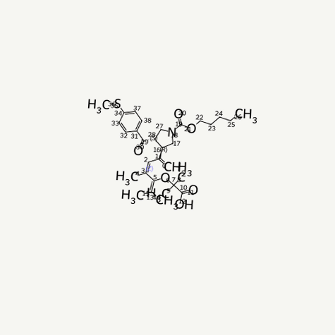 C=C(/C=C(/C)C(OC(C)(C)C(=O)O)=C(C)C)[C@@H]1CN(C(=O)OCCCCC)C[C@H]1C(=O)c1ccc(SC)cc1